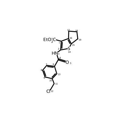 CCOC(=O)c1c(NC(=O)c2cccc(CCl)c2)sc2c1CCC2